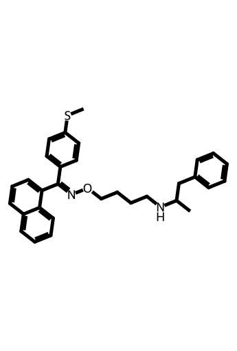 CSc1ccc(C(=NOCCCCNC(C)Cc2ccccc2)c2cccc3ccccc23)cc1